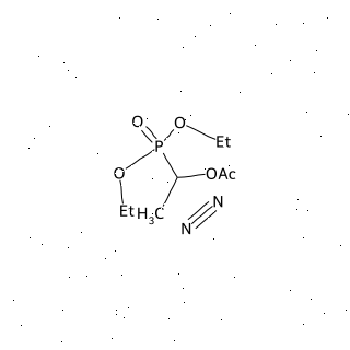 CCOP(=O)(OCC)C(C)OC(C)=O.N#N